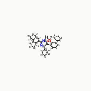 Cc1ccccc1-c1cccc2c1oc1nc(-c3cc4ccccc4c4ccccc34)nc(-c3ccccc3)c12